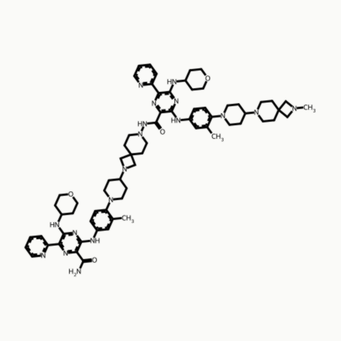 Cc1cc(Nc2nc(NC3CCOCC3)c(-c3ccccn3)nc2C(=O)NN2CCC3(CC2)CN(C2CCN(c4ccc(Nc5nc(NC6CCOCC6)c(-c6ccccn6)nc5C(N)=O)cc4C)CC2)C3)ccc1N1CCC(N2CCC3(CC2)CN(C)C3)CC1